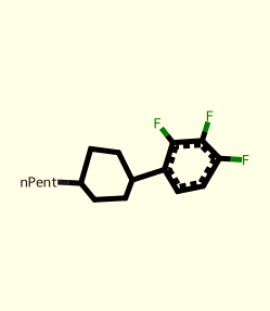 CCCCCC1CCC(c2ccc(F)c(F)c2F)CC1